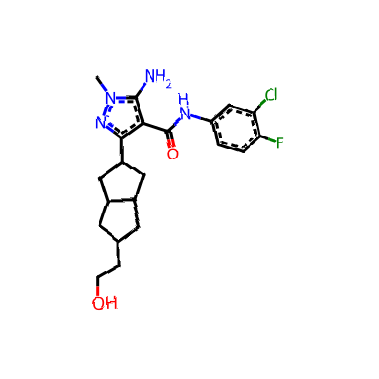 Cn1nc(C2CC3CC(CCO)CC3C2)c(C(=O)Nc2ccc(F)c(Cl)c2)c1N